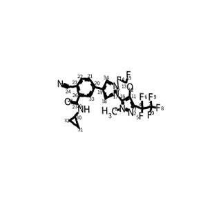 Cn1nc(C(F)(F)C(F)(F)F)c(OC(F)F)c1-n1cc(-c2ccc(C#N)c(C(=O)NC3CC3)c2)cn1